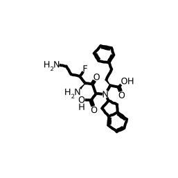 NCCC(F)[C@H](N)C(=O)C(C(=O)O)N(C1Cc2ccccc2C1)[C@@H](CCc1ccccc1)C(=O)O